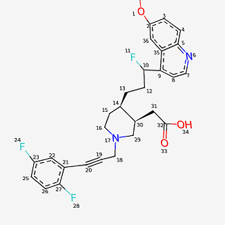 COc1ccc2nccc(C(F)CC[C@@H]3CCN(CC#Cc4cc(F)ccc4F)C[C@@H]3CC(=O)O)c2c1